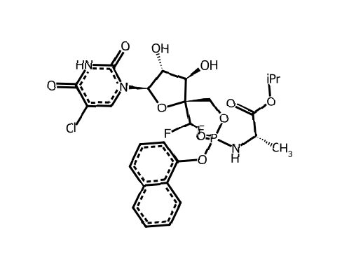 CC(C)OC(=O)[C@H](C)NP(=O)(OC[C@@]1(C(F)F)O[C@@H](n2cc(Cl)c(=O)[nH]c2=O)[C@H](O)[C@H]1O)Oc1cccc2ccccc12